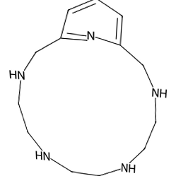 c1cc2nc(c1)CNCCNCCNCCNC2